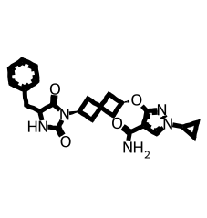 NC(=O)c1cn(C2CC2)nc1O[C@H]1CC2(C1)C[C@H](N1C(=O)NC(Cc3ccccc3)C1=O)C2